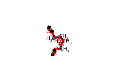 CN(CCCOc1ccc2sc3ccccc3c(=O)c2c1)CCC(=O)OCCC(C)(C)OCCC(C)(C)OC(=O)CCN(C)CCCOc1ccc2sc3ccccc3c(=O)c2c1